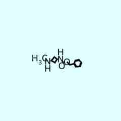 CN[C@H]1C[C@@H](NC(=O)OCc2ccccc2)C1